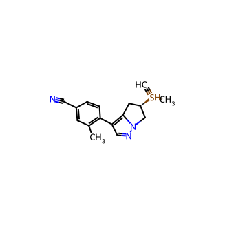 C#[SH](C)[C@@H]1Cc2c(-c3ccc(C#N)cc3C)cnn2C1